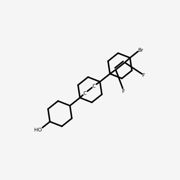 OC1CCC(C23CCC(C45CCC(Br)(CC4)C(F)=C5F)(CC2)CC3)CC1